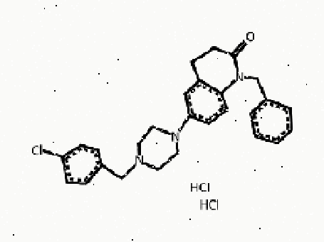 Cl.Cl.O=C1CCc2cc(N3CCN(Cc4ccc(Cl)cc4)CC3)ccc2N1Cc1ccccc1